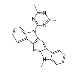 Cc1nc(C)nc(-n2c3ccccc3c3cc4c(cc32)c2ccccc2n4C)n1